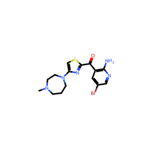 CN1CCCN(c2csc(C(=O)c3cc(Br)cnc3N)n2)CC1